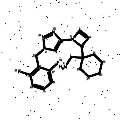 NCC1(C2C=CN2c2cn(Cc3c(F)cccc3F)nn2)CCCCC1